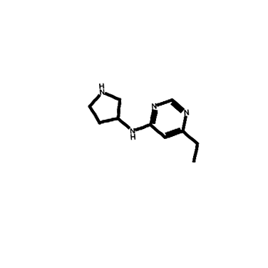 CCc1cc(NC2CCNC2)ncn1